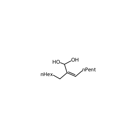 CCCCCC=C(CCCCCCC)C(O)O